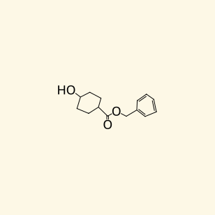 O=C(OCc1ccccc1)C1CCC(O)CC1